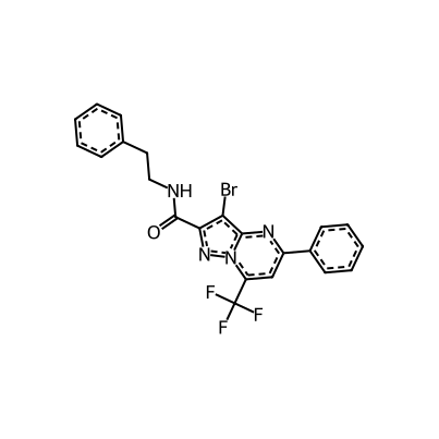 O=C(NCCc1ccccc1)c1nn2c(C(F)(F)F)cc(-c3ccccc3)nc2c1Br